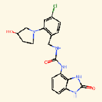 O=C(NCc1ccc(Cl)cc1N1CCC(O)C1)Nc1cccc2[nH]c(=O)[nH]c12